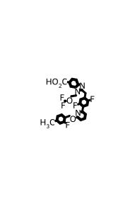 Cc1ccc(COc2cccc(-c3cc(F)c(Cc4nc5ccc(C(=O)O)cc5n4CCOC(F)F)cc3F)n2)c(F)c1